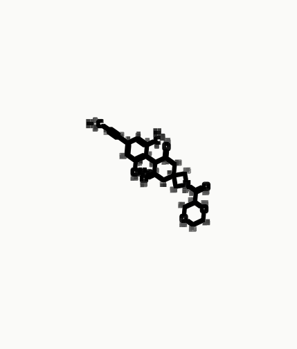 CC#Cc1cc(C)c(C2C(=O)CC3(CC2=O)CN(C(=O)C2COCCO2)C3)c(OC)c1